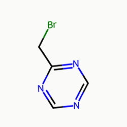 BrCc1ncncn1